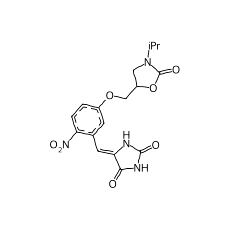 CC(C)N1CC(COc2ccc([N+](=O)[O-])c(C=C3NC(=O)NC3=O)c2)OC1=O